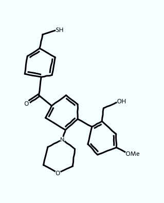 COc1ccc(-c2ccc(C(=O)c3ccc(CS)cc3)cc2N2CCOCC2)c(CO)c1